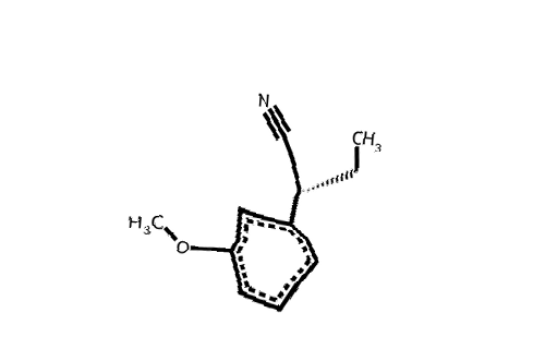 CC[C@@H](C#N)c1cccc(OC)c1